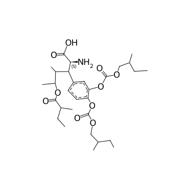 CCC(C)COC(=O)Oc1ccc(C(C(C)C(C)OC(=O)C(C)CC)[C@H](N)C(=O)O)cc1OC(=O)OCC(C)CC